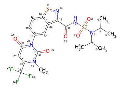 CC(C)N(C(C)C)S(=O)(=O)NC(=O)c1nsc2ccc(-n3c(=O)cc(C(F)(F)F)n(C)c3=O)cc12